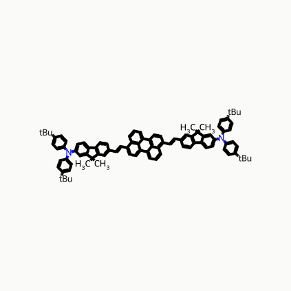 CC(C)(C)c1ccc(N(c2ccc(C(C)(C)C)cc2)c2ccc3c(c2)C(C)(C)c2cc(/C=C/c4ccc5c6cccc7c(/C=C/c8ccc9c(c8)C(C)(C)c8cc(N(c%10ccc(C(C)(C)C)cc%10)c%10ccc(C(C)(C)C)cc%10)ccc8-9)ccc(c8cccc4c85)c76)ccc2-3)cc1